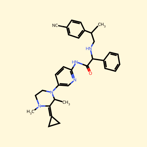 CC(CNC(C(=O)Nc1ccc(N2CCN(C)C(=C3CC3)C2C)cn1)c1ccccc1)c1ccc(C#N)cc1